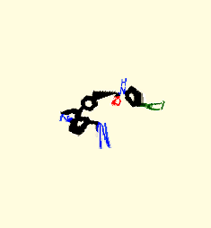 N#Cc1ccc2nccc(C3CCC4(CC3)C[C@@H]4C(=O)Nc3ccc(Cl)cc3)c2c1